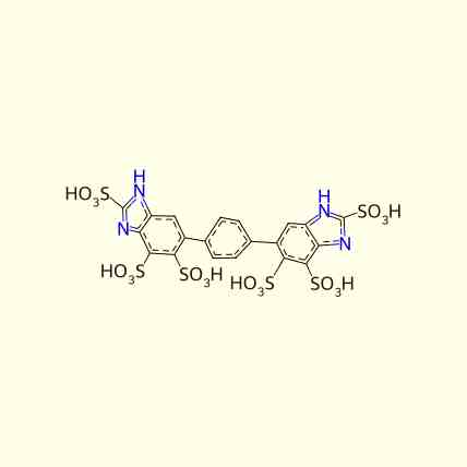 O=S(=O)(O)c1nc2c(S(=O)(=O)O)c(S(=O)(=O)O)c(-c3ccc(-c4cc5[nH]c(S(=O)(=O)O)nc5c(S(=O)(=O)O)c4S(=O)(=O)O)cc3)cc2[nH]1